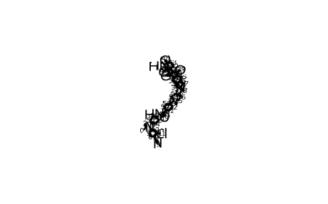 CC(C)N(c1ccc(C#N)c(Cl)c1)[C@H]1CC[C@H](NC(=O)c2ccc(N3CCC(CN4Cc5cc6c(cc5C4)C(=O)N(C4CCC(=O)NC4=O)C6=O)CC3)cc2)CC1